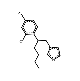 CCCCC(Cn1cnnc1)c1ccc(Cl)cc1Cl